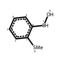 CSc1ccccc1BO